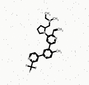 C=Cc1ncc(-c2cc(-c3ccnc(C(F)(F)F)c3)ccc2C)cc1N1CCCC1CN(C)CC